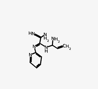 C=CC(N)NC(=Nc1ccccn1)C(=N)N